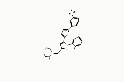 CC1CNCCN1Cc1cc(-c2ccc(-c3cccc(S(C)(=O)=O)c3)s2)n(-c2ccccc2Cl)n1